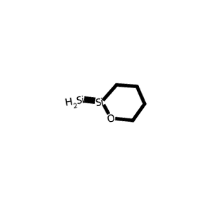 [SiH2]=[Si]1CCCCO1